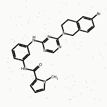 Cn1cccc1C(=O)Nc1cccc(Nc2ncnc(N3CCc4cc(Br)ccc4C3)n2)c1